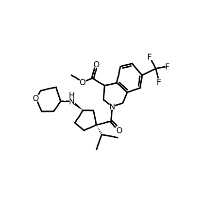 COC(=O)C1CN(C(=O)[C@@]2(C(C)C)CC[C@@H](NC3CCOCC3)C2)Cc2cc(C(F)(F)F)ccc21